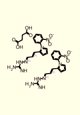 N=C(N)N/N=C/C=C/c1cccn1-c1ccccc1[N+](=O)[O-].N=C(N)N/N=C/C=C/c1cccn1-c1ccccc1[N+](=O)[O-].O=C(O)CCC(=O)O